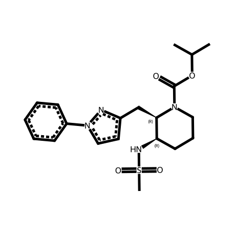 CC(C)OC(=O)N1CCC[C@@H](NS(C)(=O)=O)[C@H]1Cc1ccn(-c2ccccc2)n1